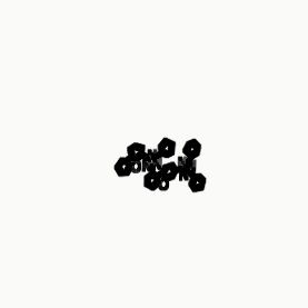 c1ccc(-c2nc(-c3ccccc3)nc(-c3ccc4c(c3)oc3cccc(-c5nc(-c6ccccc6)nc(-c6cccc7c6oc6ccccc67)n5)c34)n2)cc1